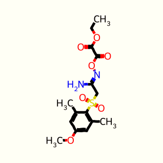 CCOC(=O)C(=O)O/N=C(\N)CS(=O)(=O)c1c(C)cc(OC)cc1C